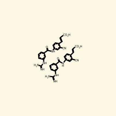 N#Cc1cc(NC(=O)c2cccc(NC(=N)N)c2)ccc1C=CC(=O)O.N#Cc1cc(NC(=O)c2cccc(NC(=N)N)c2)ccc1C=CC(=O)O